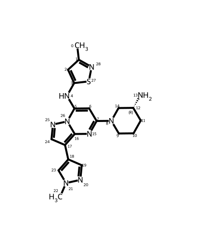 Cc1cc(Nc2cc(N3CCC[C@@H](N)C3)nc3c(-c4cnn(C)c4)cnn23)sn1